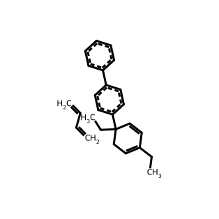 C=CC=C.CCC1=CCC(CC)(c2ccc(-c3ccccc3)cc2)C=C1